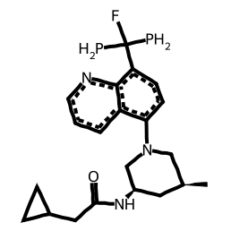 C[C@H]1C[C@@H](NC(=O)CC2CC2)CN(c2ccc(C(F)(P)P)c3ncccc23)C1